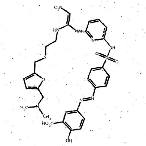 CN/C(=C/[N+](=O)[O-])NCCSCc1ccc(CN(C)C)o1.O=C(O)c1cc(N=Nc2ccc(S(=O)(=O)Nc3ccccn3)cc2)ccc1O